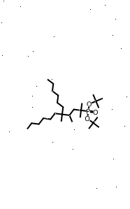 CCCCCCC(C)(CCCCCC)C(C)CC(C)(C)P(=O)(OC(C)(C)C)OC(C)(C)C